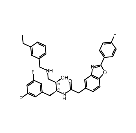 CCc1cccc(CNC[C@@H](O)[C@H](Cc2cc(F)cc(F)c2)NC(=O)Cc2ccc3oc(-c4ccc(F)cc4)nc3c2)c1